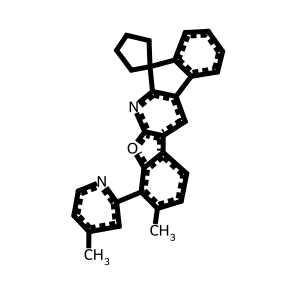 Cc1ccnc(-c2c(C)ccc3c2oc2nc4c(cc23)-c2ccccc2C42CCCC2)c1